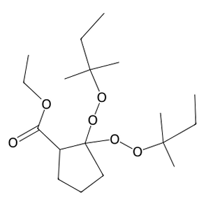 CCOC(=O)C1CCCC1(OOC(C)(C)CC)OOC(C)(C)CC